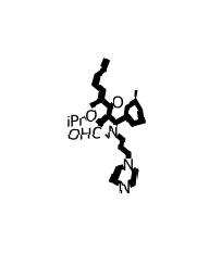 C=C/C=C\C=C(/C)C(=O)/C(=C(/C=O)OC(C)C)C(C1=CC=C[C@H](C)C1)N(C)CCCN1C=CN=CC1